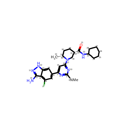 CNc1nc(-c2cc(F)c3c(N)n[nH]c3c2)cc(N2C[C@@H](C(=O)NC3CCCCC3)CC[C@H]2C)n1